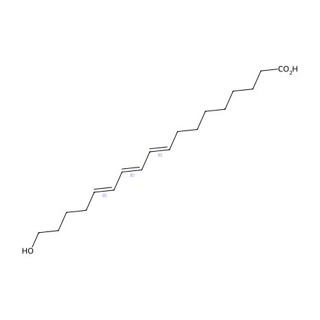 O=C(O)CCCCCCC/C=C/C=C/C=C/CCCCO